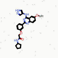 CCCOc1ccc2nc(-c3cccc(OCC(=O)NC4CCCC4)c3)nc(Nc3cn[nH]c3)c2c1